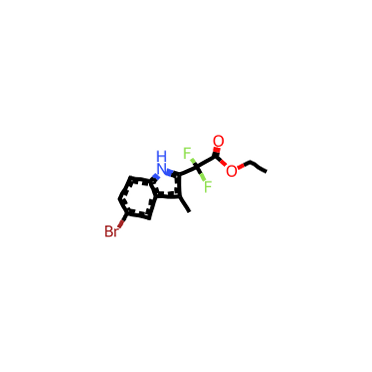 CCOC(=O)C(F)(F)c1[nH]c2ccc(Br)cc2c1C